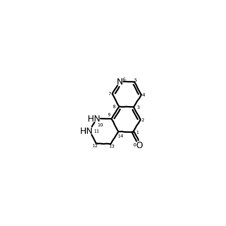 O=C1C=c2ccncc2=C2NNCCC12